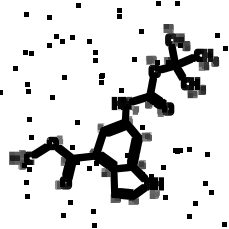 COC(=O)c1cc(NC(=O)OC(C)(C)C)cc2[nH]ccc12